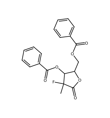 CC1(F)C(=O)OC(COC(=O)c2ccccc2)C1OC(=O)c1ccccc1